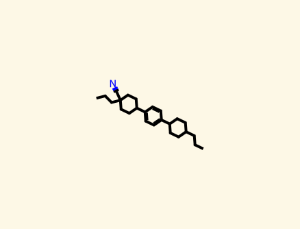 CCCC1CCC(c2ccc(C3CCC(C#N)(CCC)CC3)cc2)CC1